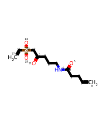 C=CCCC(=O)NCCCC(=O)CS(=O)(=O)C=C